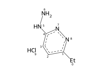 CCc1ccc(NN)nn1.Cl